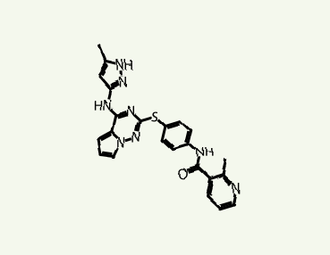 Cc1cc(Nc2nc(Sc3ccc(NC(=O)c4cccnc4C)cc3)nn3cccc23)n[nH]1